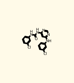 O=C(Nc1cccc(Cl)c1)Nc1cc(Nc2cccc(Cl)c2)ncn1